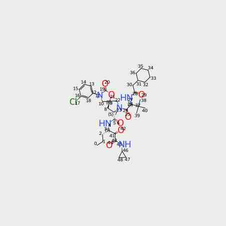 CCC[C@H](NC(=O)[C@@H]1C[C@]2(CN(c3cccc(Cl)c3)C(=O)O2)CN1C(=O)[C@@H](NC(=O)CC1CCCCC1)C(C)(C)C)C(=O)C(=O)NC1CC1